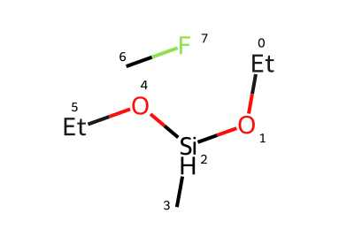 CCO[SiH](C)OCC.CF